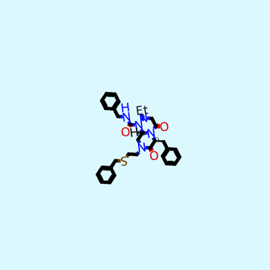 CCN1CC(=O)N2[C@@H](Cc3ccccc3)C(=O)N(CCSCc3ccccc3)C[C@@H]2N1C(=O)NCc1ccccc1